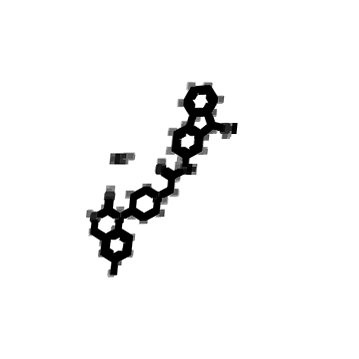 Cc1ccc2c(c1)COC(=O)N2C1CCN(CC(=O)Nc2ccc3c(c2)C(O)c2ccccc2-3)CC1.Cl